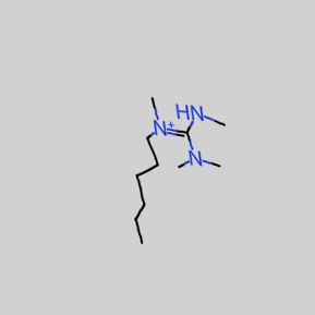 CCCCCC[N+](C)=C(NC)N(C)C